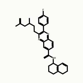 C=C(C)CC(C)CCc1nc2cc(C(=C)NC3CCCC4=C3C=CCC4)ccc2nc1-c1ccc(F)cc1